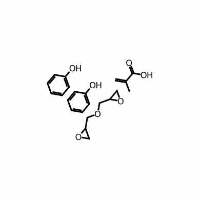 C(OCC1CO1)C1CO1.C=C(C)C(=O)O.Oc1ccccc1.Oc1ccccc1